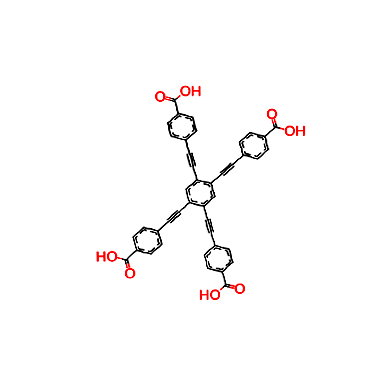 O=C(O)c1ccc(C#Cc2cc(C#Cc3ccc(C(=O)O)cc3)c(C#Cc3ccc(C(=O)O)cc3)cc2C#Cc2ccc(C(=O)O)cc2)cc1